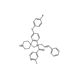 Cc1cc(C(=O)[N+]2(C/C=C/c3ccccc3)CC3(CCNCC3)c3cc(Sc4ccc(F)cc4)ccc32)ccn1